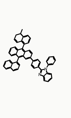 CC1CC=Cc2c(-c3c4ccccc4c(-c4cccc5ccccc45)c4cc(-c5ccc(-c6nc7ccccc7n6-c6ccccc6)cc5)ccc34)cccc21